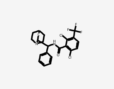 O=C(NC(c1ccccc1)C1CC2CCN1CC2)c1c(Cl)ccc(C(F)(F)F)c1Cl